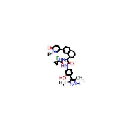 Cc1n[nH]c(C)c1-c1ccc(NC(=O)[C@@H](NC(=O)C2(F)CC2)[C@@H]2CCCc3ccc(-c4ccc(=O)n(C(C)C)c4)cc32)cc1O